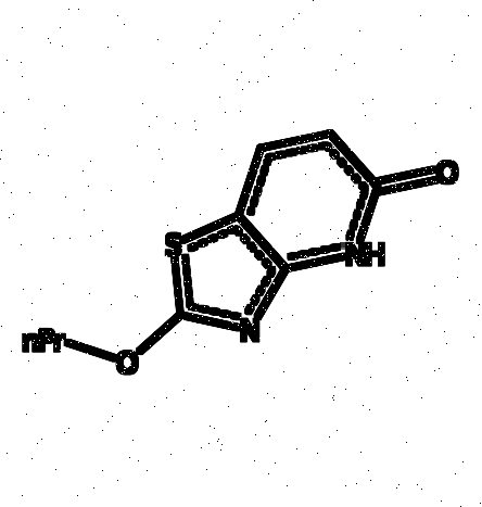 CCCOc1nc2[nH]c(=O)ccc2s1